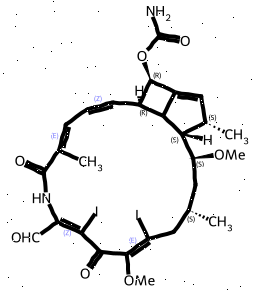 CO/C1=C(/I)C[C@@H](C)C[C@H](OC)[C@@H]2C3C(=C[C@@H]2C)[C@H](OC(N)=O)[C@@H]3/C=C\C=C(/C)C(=O)N/C(C=O)=C(\I)C1=O